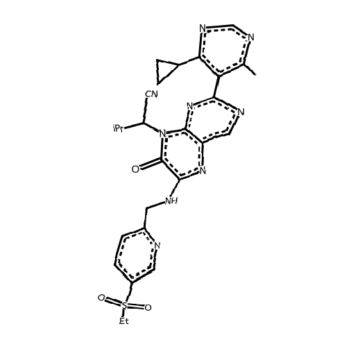 CCS(=O)(=O)c1ccc(CNc2nc3cnc(-c4c(C)ncnc4C4CC4)nc3n(C(C#N)C(C)C)c2=O)nc1